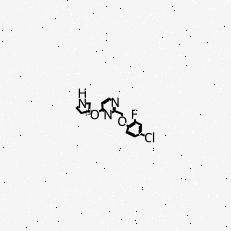 Fc1cc(Cl)ccc1OCc1nccc(O[C@H]2CCNC2)n1